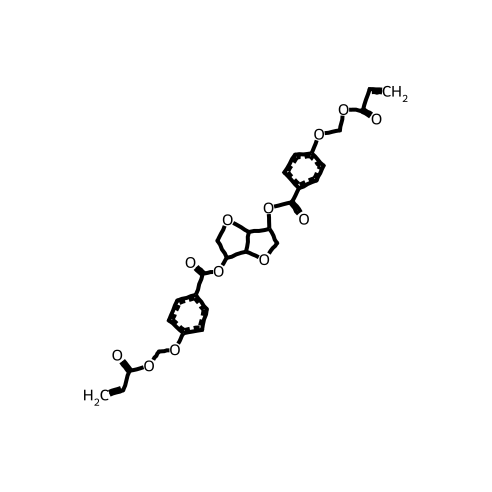 C=CC(=O)OCOc1ccc(C(=O)OC2COC3C(OC(=O)c4ccc(OCOC(=O)C=C)cc4)COC23)cc1